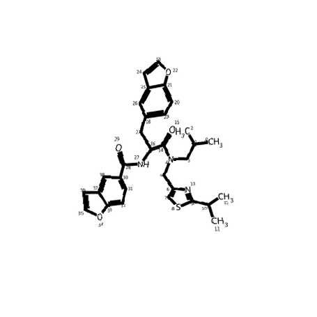 CC(C)CN(Cc1csc(C(C)C)n1)C(=O)C(Cc1ccc2occc2c1)NC(=O)c1ccc2occc2c1